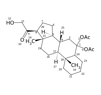 CC(=O)OC1(OC(C)=O)C[C@H]2[C@@H]3CC[C@H](C(=O)CO)[C@@]3(C)CC[C@@H]2[C@@]2(C)CCCCC12